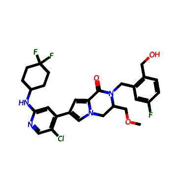 COCC1Cn2cc(-c3cc(NC4CCC(F)(F)CC4)ncc3Cl)cc2C(=O)N1Cc1cc(F)ccc1CO